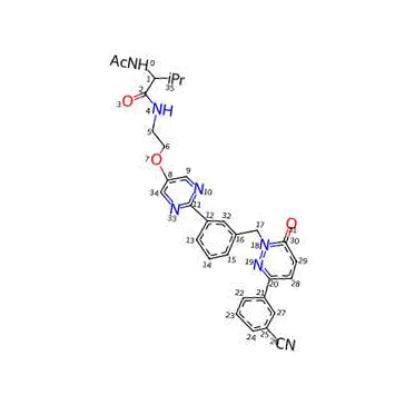 CC(=O)NC(C(=O)NCCOc1cnc(-c2cccc(Cn3nc(-c4cccc(C#N)c4)ccc3=O)c2)nc1)C(C)C